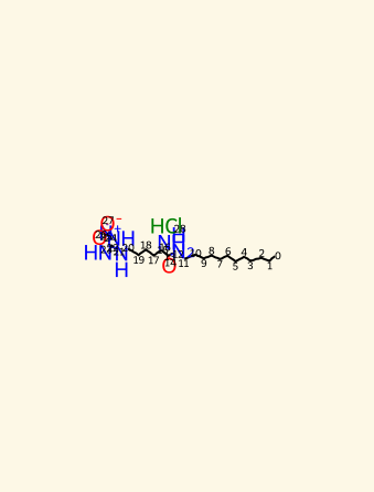 CCCCCCCCCCCCNC(=O)C(N)CCCCNC(=N)N[N+](=O)[O-].Cl